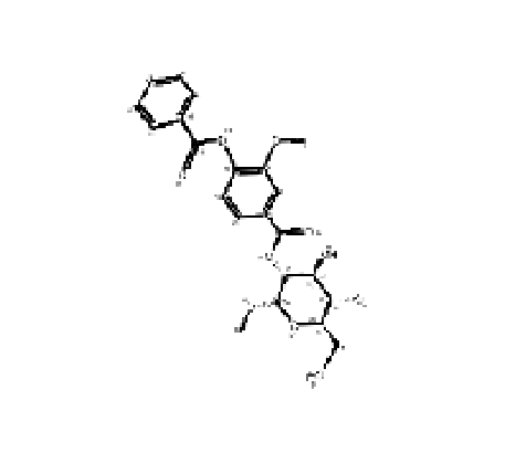 COc1cc(C(=O)O[C@H]2[C@@H](OC)O[C@H](CO)[C@@H](O)[C@@H]2O)ccc1OC(=O)c1ccccc1